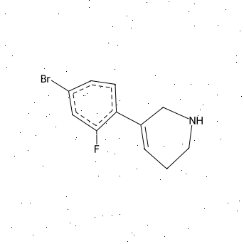 Fc1cc(Br)ccc1C1=CCCNC1